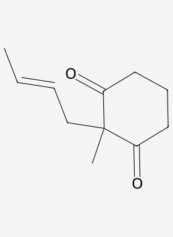 CC=CCC1(C)C(=O)CCCC1=O